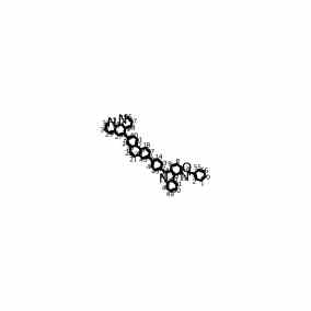 c1ccc(-c2nc3c(ccc4c(-c5ccc(-c6ccc7c(ccc8cc(-c9cc%10cccnc%10c%10ncccc9%10)ccc87)c6)cc5)nc5ccccc5c43)o2)cc1